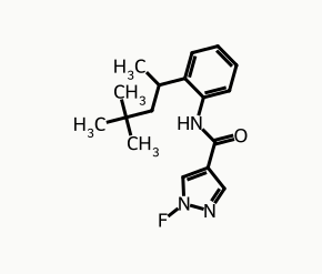 CC(CC(C)(C)C)c1ccccc1NC(=O)c1cnn(F)c1